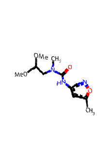 COC(CN(C)C(=O)Nc1cc(C)on1)OC